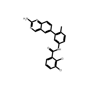 Cc1ccc(NC(=O)c2cccc(Cl)c2Cl)cc1-c1ccc2nc(N)ncc2c1